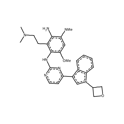 CNc1cc(OC)c(Nc2nccc(-c3cn(C4COC4)c4ccccc34)n2)c(CCN(C)C)c1N